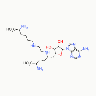 Nc1ncnc2c1ncn2[C@@H]1O[C@H](C[C@H](CC[C@H](N)C(=O)O)NCCNCCCC[C@H](N)C(=O)O)C(O)[C@@H]1O